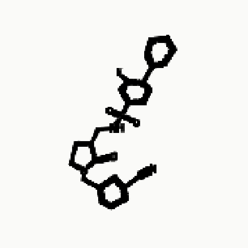 N#Cc1cccc(CN2CC[C@@H](CNS(=O)(=O)c3ccc(-c4ccccc4)c(F)c3)C2=O)c1